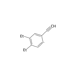 C#Cc1[c]cc(CC)c(CC)c1